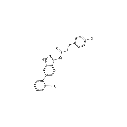 Cc1ccccc1-c1ccc2c(NC(=O)COc3ccc(Cl)cc3)n[nH]c2c1